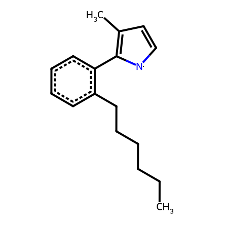 CCCCCCc1ccccc1C1=C(C)C=C[N]1